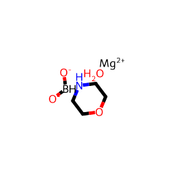 C1COCCN1.O.[Mg+2].[O-]B[O-]